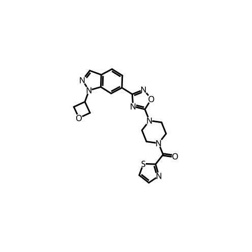 O=C(c1nccs1)N1CCN(c2nc(-c3ccc4cnn(C5COC5)c4c3)no2)CC1